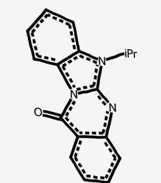 CC(C)n1c2ccccc2n2c(=O)c3ccccc3nc12